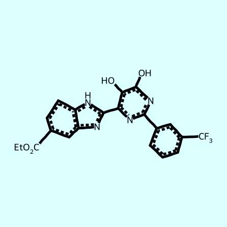 CCOC(=O)c1ccc2[nH]c(-c3nc(-c4cccc(C(F)(F)F)c4)nc(O)c3O)nc2c1